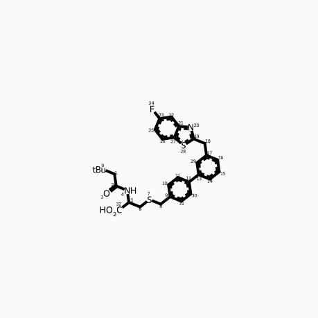 CC(C)(C)CC(=O)NC(CSCc1ccc(-c2cccc(Cc3nc4cc(F)ccc4s3)c2)cc1)C(=O)O